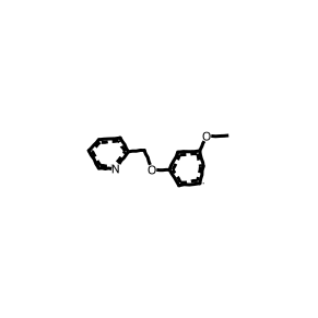 COc1c[c]cc(OCc2ccccn2)c1